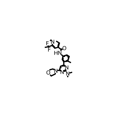 C=N/C(=C\C(=C/C)C(=O)Nc1ccc(C)c(-c2cc(N3CCOCC3)nc(N(C)C)n2)c1)C(C)(F)F